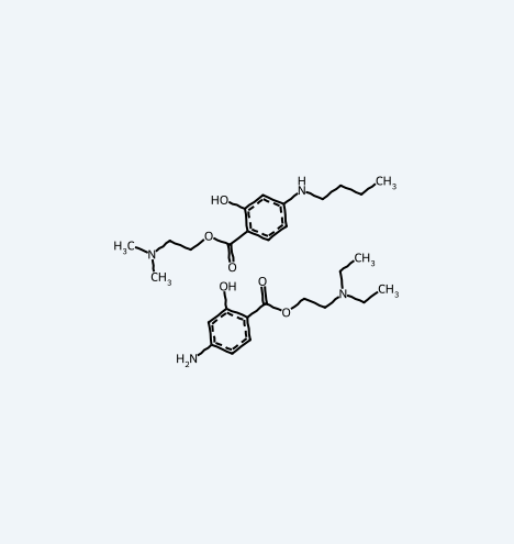 CCCCNc1ccc(C(=O)OCCN(C)C)c(O)c1.CCN(CC)CCOC(=O)c1ccc(N)cc1O